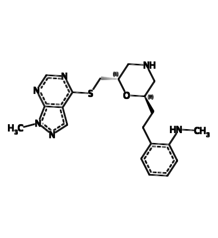 CNc1ccccc1CC[C@@H]1CNC[C@@H](CSc2ncnc3c2cnn3C)O1